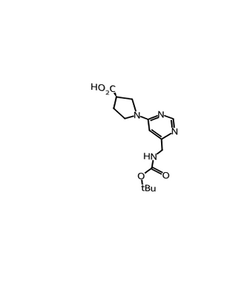 CC(C)(C)OC(=O)NCc1cc(N2CC[C@@H](C(=O)O)C2)ncn1